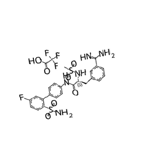 CS(=O)(=O)N[C@@H](Cc1cccc(C(=N)N)c1)C(=O)Nc1ccc(-c2cc(F)ccc2S(N)(=O)=O)cc1.O=C(O)C(F)(F)F